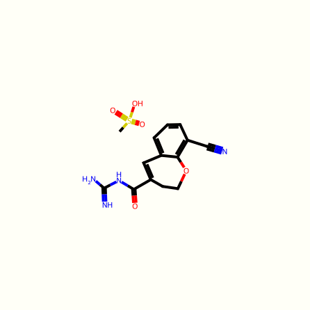 CS(=O)(=O)O.N#Cc1cccc2c1OCCC(C(=O)NC(=N)N)=C2